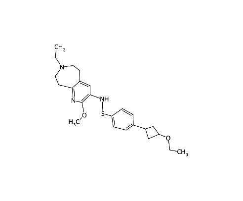 CCOC1CC(c2ccc(SNc3cc4c(nc3OC)CCN(CC)CC4)cc2)C1